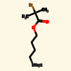 CCCCCCCCCCCOC(=O)C(C)(C)Br